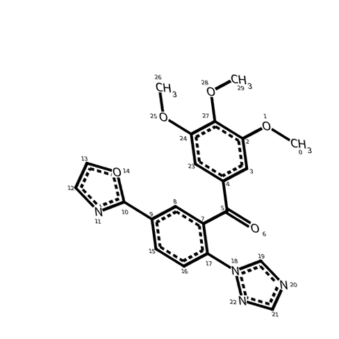 COc1cc(C(=O)c2cc(-c3ncco3)ccc2-n2cncn2)cc(OC)c1OC